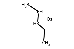 BBBCC.[Os]